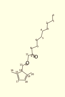 CCCCCCCCCC(=O)COCC1C(C)=CC=C1C